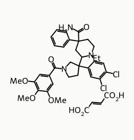 CCN1CCC(C(N)=O)(c2ccccc2)CC1C1(c2ccc(Cl)c(Cl)c2)CCN(C(=O)c2cc(OC)c(OC)c(OC)c2)C1.O=C(O)C=CC(=O)O